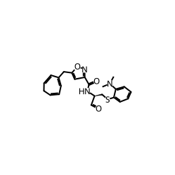 CN(C)c1ccccc1SC[C@@H](C=O)NC(=O)c1cc(CC2=CC=CCC=C2)on1